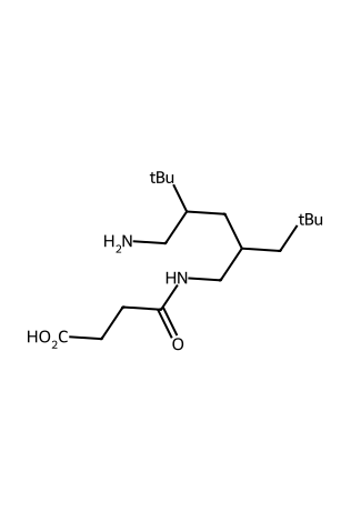 CC(C)(C)CC(CNC(=O)CCC(=O)O)CC(CN)C(C)(C)C